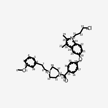 COc1cccc(CCN2CCN(C(=O)c3ccc(Oc4ccc5c(c4)c(C)c(C)n5CCCCl)cc3)CC2)c1